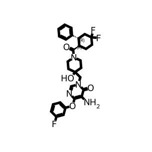 Nc1c(Oc2cccc(F)c2)ncn(CC2(O)CCN(C(=O)[C@@H]3CCC(F)(F)C[C@H]3c3ccccc3)CC2)c1=O